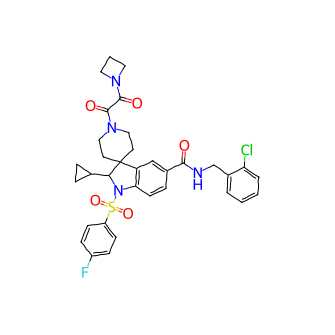 O=C(NCc1ccccc1Cl)c1ccc2c(c1)C1(CCN(C(=O)C(=O)N3CCC3)CC1)C(C1CC1)N2S(=O)(=O)c1ccc(F)cc1